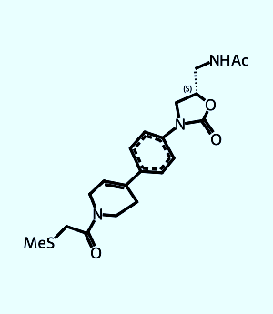 CSCC(=O)N1CC=C(c2ccc(N3C[C@H](CNC(C)=O)OC3=O)cc2)CC1